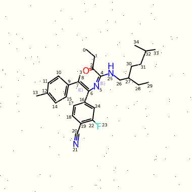 CCC(=O)/C(=N\C(=C(/C)c1ccc(C)cc1)c1ccc(C#N)c(F)c1)NCC(CC)CCC(C)C